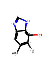 CCCCc1cc2nc[nH]c2c(O)c1C(C)=O